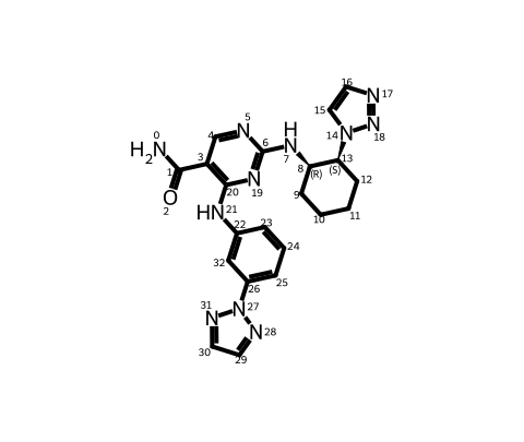 NC(=O)c1cnc(N[C@@H]2CCCC[C@@H]2n2ccnn2)nc1Nc1cccc(-n2nccn2)c1